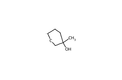 CC1(O)CC[CH]CC1